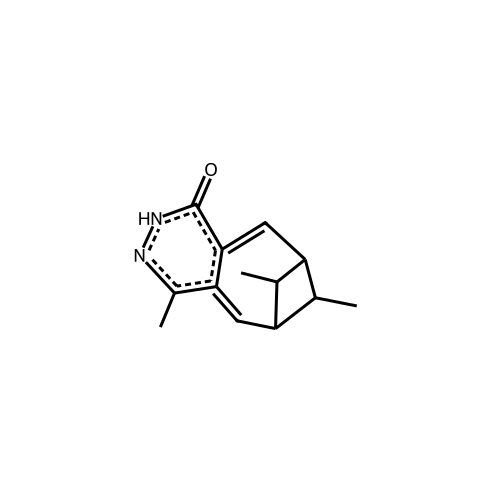 Cc1n[nH]c(=O)c2c1=CC1C(C)C(C=2)C1C